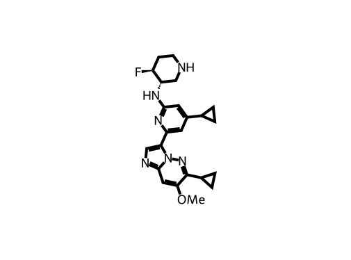 COc1cc2ncc(-c3cc(C4CC4)cc(N[C@H]4CNCC[C@@H]4F)n3)n2nc1C1CC1